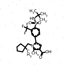 Cc1c(C(=O)O)cc(-c2ccc(S(=O)(=O)NC(C)(C)C)c(C(F)(F)F)c2)n1CC1(C)CCCC1